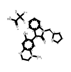 CN1CCOc2cc(O)c(C3C(=O)N(C[C@H]4CCCO4)c4ccccc43)cc21.O=C(O)C(F)(F)F